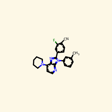 Cc1cccc(-n2c(-c3ccc(C#N)c(F)c3)nc3c(N4CCCCC4)ccnc32)c1